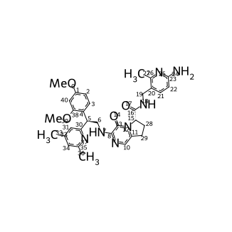 COc1ccc([C@@H](CNc2ncc3n(c2=O)[C@H](C(=O)NCc2ccc(N)nc2C)CC3)c2cc(C)cc(C)n2)c(OC)c1